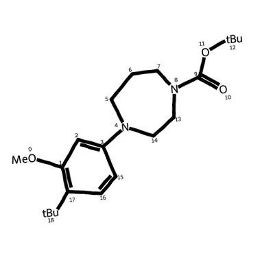 COc1cc(N2CCCN(C(=O)OC(C)(C)C)CC2)ccc1C(C)(C)C